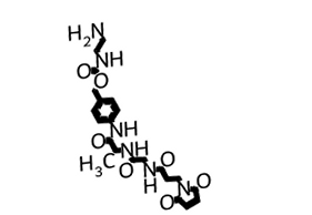 C[C@H](NC(=O)CNC(=O)CCN1C(=O)C=CC1=O)C(=O)Nc1ccc(COC(=O)NCCN)cc1